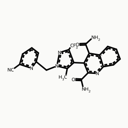 Cc1c(-c2c(C(N)=O)nc3ccccc3c2C(N)=O)c(C(F)(F)F)nn1Cc1cccc(C#N)n1